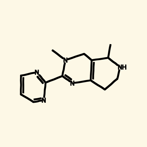 CC1NCCC2=C1CN(C)C(c1ncccn1)=N2